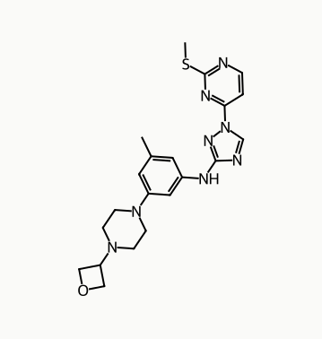 CSc1nccc(-n2cnc(Nc3cc(C)cc(N4CCN(C5COC5)CC4)c3)n2)n1